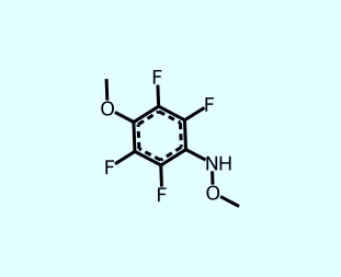 CONc1c(F)c(F)c(OC)c(F)c1F